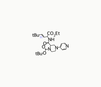 CCOC(=O)C(/C=C/C(C)(C)C)NC(=O)C1CN(c2ccncc2)CCN1C(=O)OC(C)(C)C